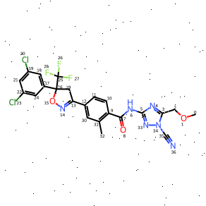 COCc1nc(NC(=O)c2ccc(C3=NOC(c4cc(Cl)cc(Cl)c4)(C(F)(F)F)C3)cc2C)nn1C#N